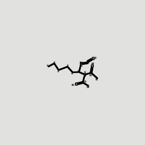 CCCCCC(N=C=O)N(C(C)=O)C(C)=O